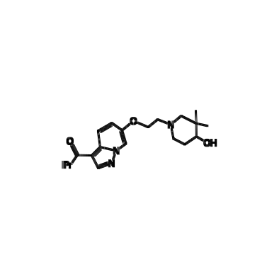 CC(C)C(=O)c1cnn2cc(OCCN3CCC(O)C(C)(C)C3)ccc12